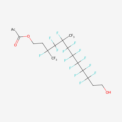 CC(=O)C(=O)OCCC(F)(C(F)(F)F)C(F)(F)C(F)(C(F)(F)F)C(F)(F)C(F)(F)C(F)(F)C(F)(F)C(F)(F)CCO